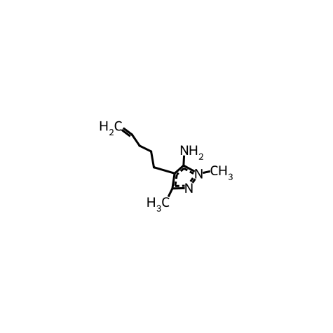 C=CCCCc1c(C)nn(C)c1N